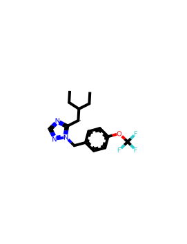 CCC([CH]c1ncnn1Cc1ccc(OC(F)(F)F)cc1)CC